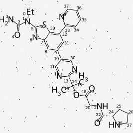 CCN(C(N)=O)c1nc2cc(-c3cnc(C(C)(C)OC(=O)CNC(=O)[C@@H]4CCCN4)nc3)cc(-c3ccccn3)c2s1